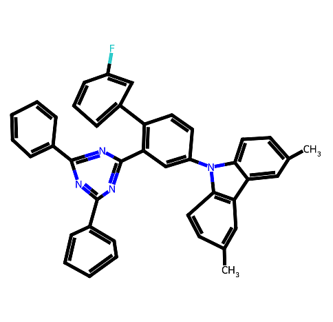 Cc1ccc2c(c1)c1cc(C)ccc1n2-c1ccc(-c2cccc(F)c2)c(-c2nc(-c3ccccc3)nc(-c3ccccc3)n2)c1